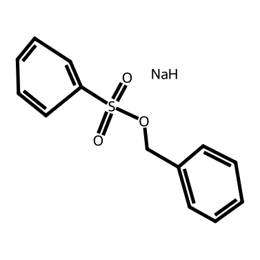 O=S(=O)(OCc1ccccc1)c1ccccc1.[NaH]